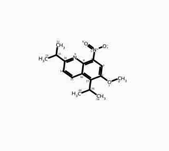 COc1cc([N+](=O)[O-])c2nc(C(C)C)ccc2c1C(C)C